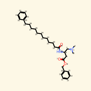 CN(C)CC(CC(=O)OCc1ccccc1)NC(=O)CCCCCCCCCCCc1ccccc1